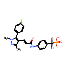 CCC(CC)(c1ccc(NC(=O)/C=C/c2c(C)nn(C)c2-c2ccc(F)cc2)cc1)P(=O)(O)O